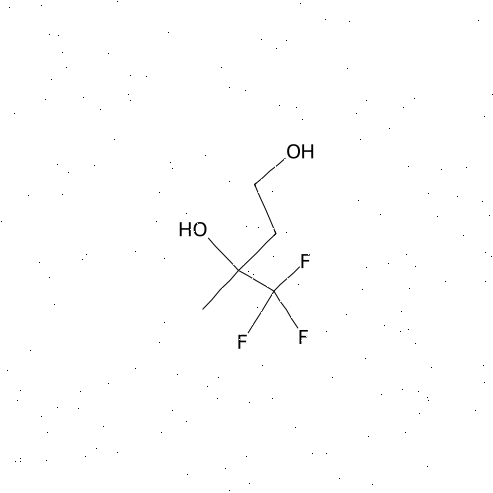 CC(O)(CCO)C(F)(F)F